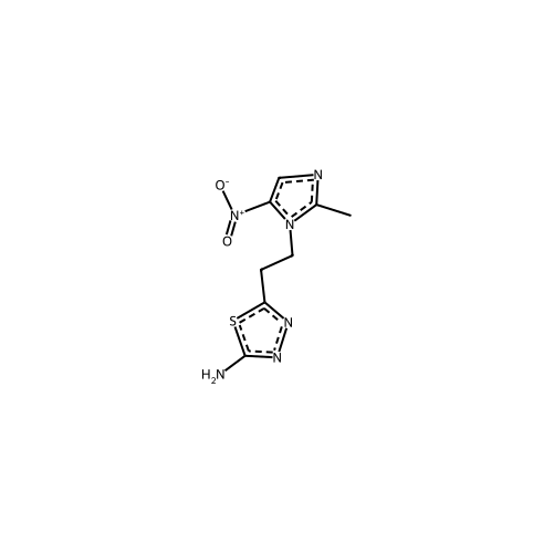 Cc1ncc([N+](=O)[O-])n1CCc1nnc(N)s1